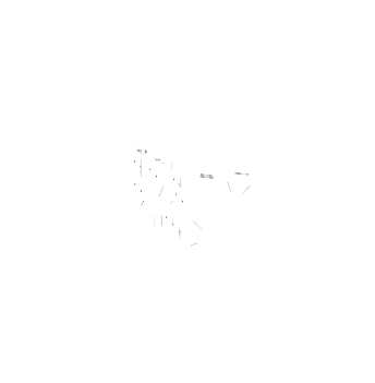 CN1C(=O)c2c(Nc3ccccc3)nn(CC#Cc3ccccc3)c2N2C1=N[C@@H]1CCC[C@@H]12